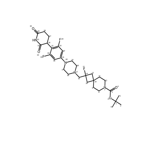 CC(C)(C)OC(=O)N1CCC2(CC1)CC(F)(CN1CCN(c3cc(F)c(C4CCC(=O)NC4=O)c(F)c3)CC1)C2